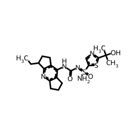 CCC1CCc2c1nc1c(c2NC(=O)N=S(N)(=O)c2cnc(C(C)(C)O)s2)CCC1